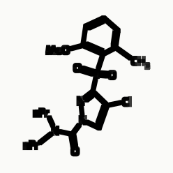 CCCN(CCC)C(=O)n1cc(Cl)c(S(=O)(=O)c2c(C)cccc2OC)n1